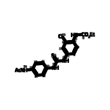 CCOC(=O)Nc1ccc(NC(=S)Nc2ccc(NC(C)=O)cc2)cc1Cl